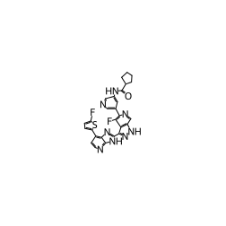 O=C(Nc1cncc(-c2ncc3[nH]nc(-c4nc5c(-c6ccc(F)s6)ccnc5[nH]4)c3c2F)c1)C1CCCC1